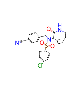 N#Cc1ccc(CN(C2CCCCNC2=O)S(=O)(=O)c2ccc(Cl)cc2)cc1